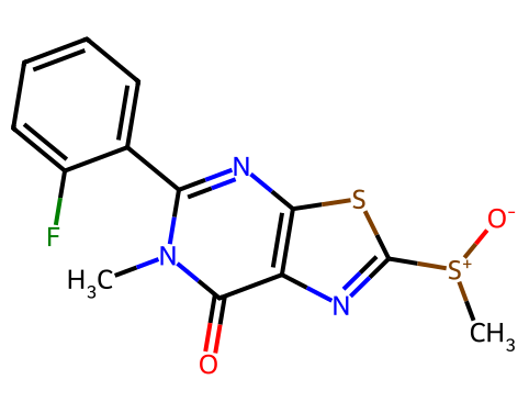 Cn1c(-c2ccccc2F)nc2sc([S+](C)[O-])nc2c1=O